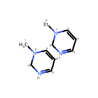 CCN1C=CC=NC1.CN1C=CC=NC1